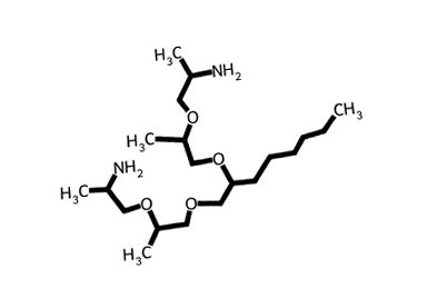 CCCCCCC(COCC(C)OCC(C)N)OCC(C)OCC(C)N